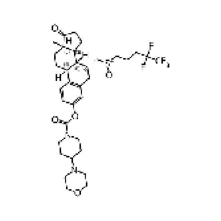 C[C@]12CC[C@@H]3c4ccc(OC(=O)N5CCC(N6CCOCC6)CC5)cc4C[C@@H](C[S+]([O-])CCCC(F)(F)C(F)(F)F)[C@H]3[C@@H]1CCC2=O